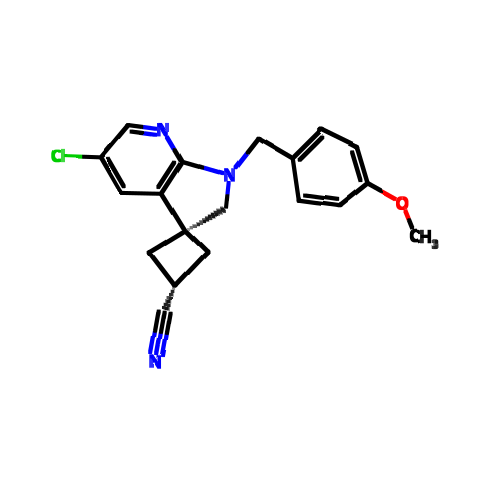 COc1ccc(CN2C[C@]3(C[C@@H](C#N)C3)c3cc(Cl)cnc32)cc1